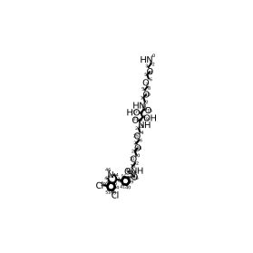 CNCCOCCOCCOCCNC(=O)C(O)C(O)C(=O)NCCOCCOCCOCCNS(=O)(=O)c1cccc(C2CN(C)Cc3c(Cl)cc(Cl)cc32)c1